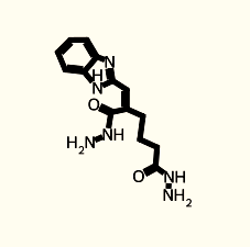 NNC(=O)CCCC(=Cc1nc2ccccc2[nH]1)C(=O)NN